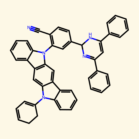 N#Cc1ccc(C2N=C(c3ccccc3)C=C(c3ccccc3)N2)cc1-n1c2ccccc2c2cc3c(cc21)c1ccccc1n3C1=CC=CCC1